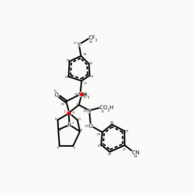 CC(CN1C2CCC1CN(C(=O)Nc1ccc(SC(F)(F)F)cc1)C2)N(Oc1ccc(C#N)cc1)C(=O)O